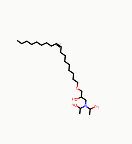 CCCCCCCC/C=C\CCCCCCCCOCC(O)CN(C(C)O)C(C)O